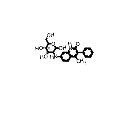 Cc1c(-c2ccccc2)c(=O)[nH]c2cc(NC3C(O)OC(CO)[C@H](O)[C@H]3O)ccc12